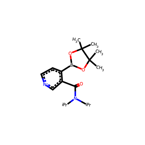 CC(C)N(C(=O)c1cnccc1B1OC(C)(C)C(C)(C)O1)C(C)C